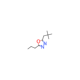 CCCc1nnc(CC(C)(C)C)o1